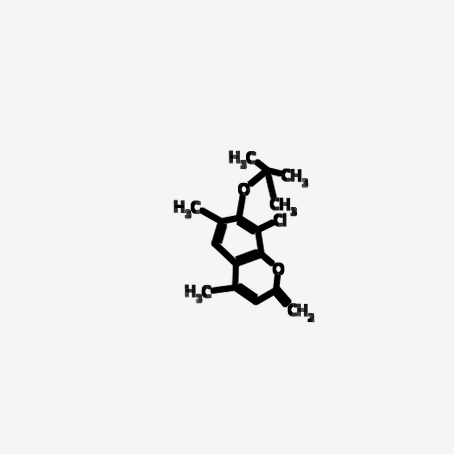 C=C1C=C(C)c2cc(C)c(OC(C)(C)C)c(Cl)c2O1